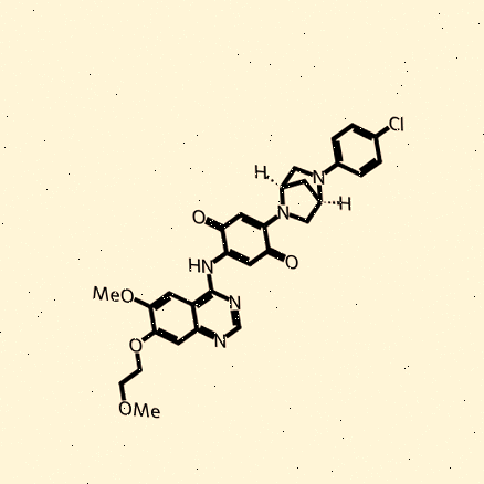 COCCOc1cc2ncnc(NC3=CC(=O)C(N4C[C@H]5C[C@@H]4CN5c4ccc(Cl)cc4)=CC3=O)c2cc1OC